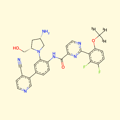 [2H]C([2H])([2H])Oc1ccc(F)c(F)c1-c1nccc(C(=O)Nc2ccc(-c3cnccc3C#N)cc2N2C[C@@H](N)C[C@H]2CO)n1